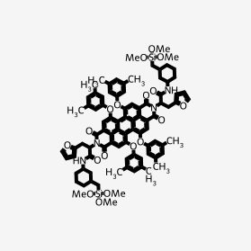 CO[Si](CC1CCCC(NC(=O)C(Cc2ccco2)N2C(=O)c3cc(Oc4cc(C)cc(C)c4)c4c5c(Oc6cc(C)cc(C)c6)cc6c7c(cc(Oc8cc(C)cc(C)c8)c(c8c(Oc9cc(C)cc(C)c9)cc(c3c48)C2=O)c75)C(=O)N(C(Cc2ccco2)C(=O)NC2CCCC(C[Si](OC)(OC)OC)C2)C6=O)C1)(OC)OC